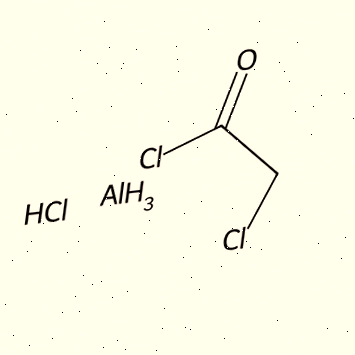 Cl.O=C(Cl)CCl.[AlH3]